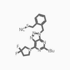 CC(C)(C)c1nc(N2CCC(F)(F)C2)c2nnn(Cc3ccccc3CSC#N)c2n1